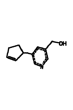 OCc1cncc(C2C=CCC2)c1